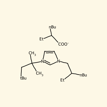 CCCCC(CC)C(=O)[O-].CCCCC(CC)Cn1cc[n+](C(C)(C)CC(C)(C)C)c1